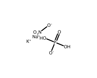 O=P([O-])(O)O.O=[N+]([O-])[O-].[K+].[Na+]